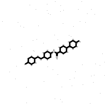 CC1CCC(CCC2CCC(OC(=O)C3CCC(C4CCC(C)CC4)CC3)CC2)CC1